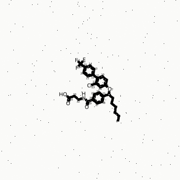 CCCCCCC(Oc1ccc(-c2ccc(C(F)(F)F)cc2)c(Cl)c1)c1ccc(C(=O)NCCC(=O)O)cc1